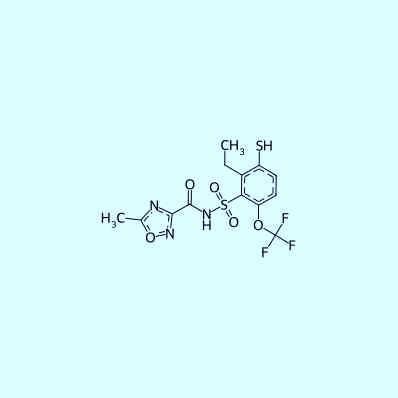 CCc1c(S)ccc(OC(F)(F)F)c1S(=O)(=O)NC(=O)c1noc(C)n1